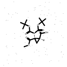 COC(=O)[C@]1(N(C(=O)OC(C)(C)C)C(=O)OC(C)(C)C)C[C@]1(F)C(=O)O